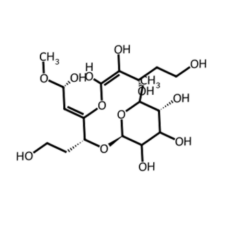 CO[C@H](O)/C=C(\O/C(O)=C(/O)[C@@H](O)CCO)[C@@H](CCO)O[C@H]1OC(C)[C@H](O)C(O)C1O